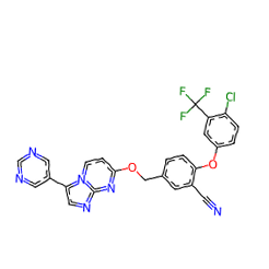 N#Cc1cc(COc2ccn3c(-c4cncnc4)cnc3n2)ccc1Oc1ccc(Cl)c(C(F)(F)F)c1